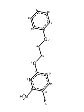 Nc1nc(OCCOc2ccccc2)ncc1F